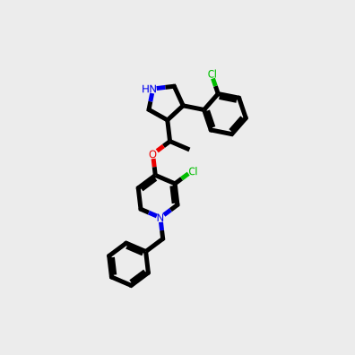 CC(OC1=CCN(Cc2ccccc2)C=C1Cl)C1CNCC1c1ccccc1Cl